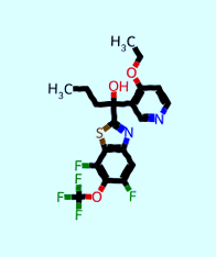 CCCC(O)(c1nc2cc(F)c(OC(F)(F)F)c(F)c2s1)c1cnccc1OCC